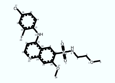 COCCNS(=O)(=O)c1cc2c(Nc3ccc(Cl)cc3F)ccnc2cc1OC